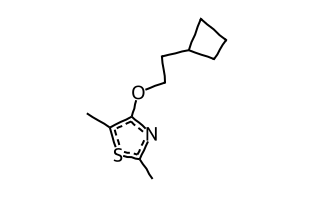 Cc1nc(OCCC2CCC2)c(C)s1